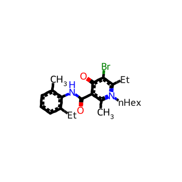 CCCCCCn1c(C)c(C(=O)Nc2c(C)cccc2CC)c(=O)c(Br)c1CC